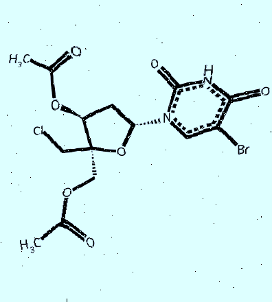 CC(=O)OC[C@@]1(CCl)O[C@@H](n2cc(Br)c(=O)[nH]c2=O)C[C@@H]1OC(C)=O